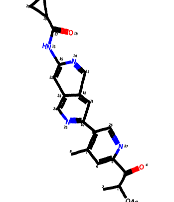 CC(=O)OC(C)C(=O)c1cc(C)c(-c2cc3cnc(NC(=O)C4CC4)cc3cn2)cn1